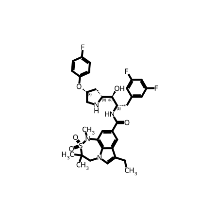 CCc1cn2c3c(cc(C(=O)N[C@@H](Cc4cc(F)cc(F)c4)[C@H](O)[C@H]4C[C@@H](Oc5ccc(F)cc5)CN4)cc13)N(C)S(=O)(=O)C(C)(C)C2